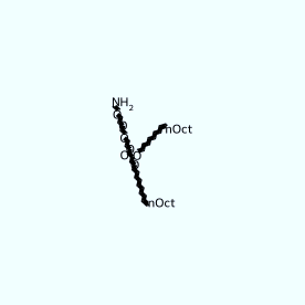 CCCCCCCC/C=C\CCCCCCCCOCC(OCCCCCCCC/C=C\CCCCCCCC)C(=O)OCCOCCOCCOCCN